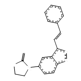 O=C1OCCN1c1ccc2[nH]nc(C=Cc3ccccc3)c2c1